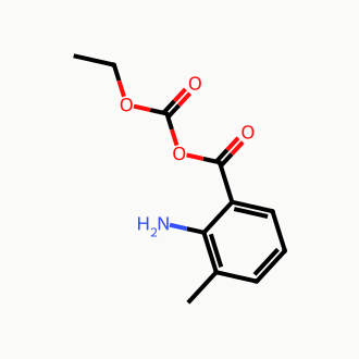 CCOC(=O)OC(=O)c1cccc(C)c1N